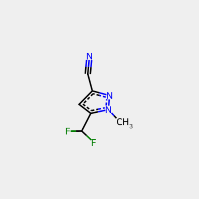 Cn1nc(C#N)cc1C(F)F